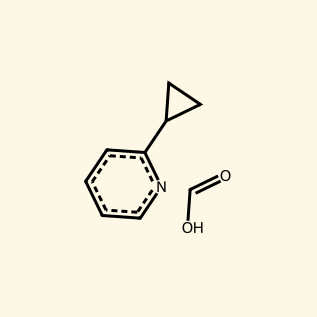 O=CO.c1ccc(C2CC2)nc1